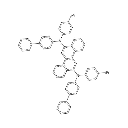 CC(C)c1ccc(N(c2ccc(-c3ccccc3)cc2)c2cc3c4ccccc4c(N(c4ccc(-c5ccccc5)cc4)c4ccc(C(C)C)cc4)cc3c3ccccc23)cc1